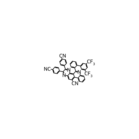 N#Cc1ccc(-c2nc3cc(C#N)c4c5ccccc5nc(-c5ccccc5-c5cc(C(F)(F)F)cc(C(F)(F)F)c5)c4c3nc2-c2ccc(C#N)cc2)cc1